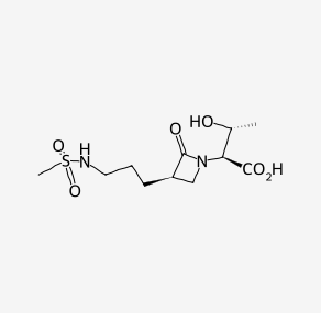 C[C@@H](O)[C@@H](C(=O)O)N1C[C@@H](CCCNS(C)(=O)=O)C1=O